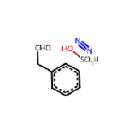 N#N.O=CCc1ccccc1.O=S(=O)(O)O